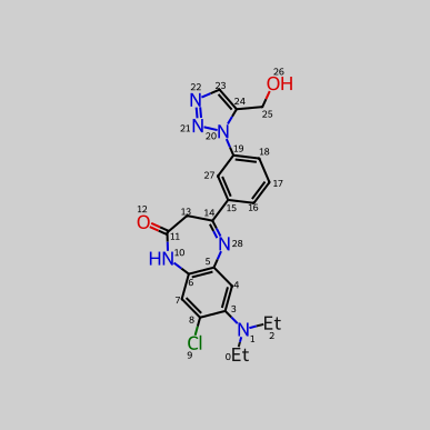 CCN(CC)c1cc2c(cc1Cl)NC(=O)CC(c1cccc(-n3nncc3CO)c1)=N2